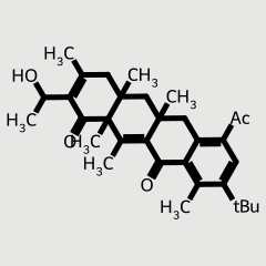 CC(=O)c1cc(C(C)(C)C)c(C)c2c1CC1(C)CC3(C)CC(C)=C(C(C)O)C(=O)C3(C)C(C)=C1C2=O